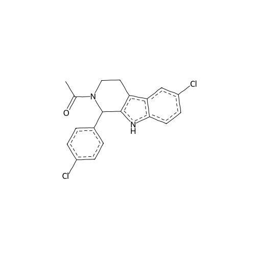 CC(=O)N1CCc2c([nH]c3ccc(Cl)cc23)C1c1ccc(Cl)cc1